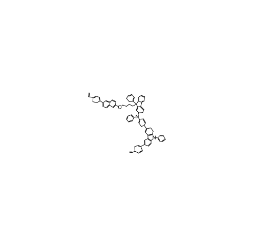 C=CC1=CC=C(c2ccc3cc(OCCCCC4(C5=CC=CCC5)C5=CC(N(C6=CCC(C7=Cc8c(n(-c9ccccc9)c9ccc(C%10=CCC(C=C)C=C%10)cc89)CC7)C=C6)c6ccccc6)CC=C5c5ccccc54)ccc3c2)CC1